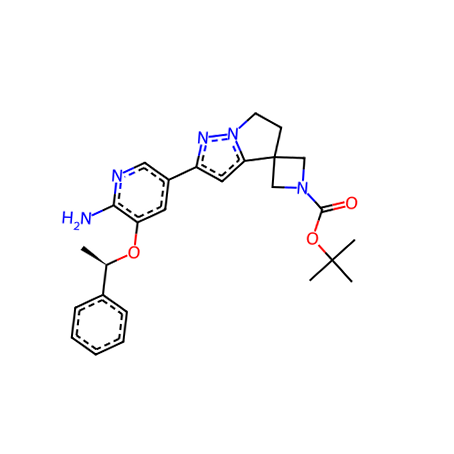 C[C@@H](Oc1cc(-c2cc3n(n2)CCC32CN(C(=O)OC(C)(C)C)C2)cnc1N)c1ccccc1